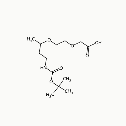 CC(CCNC(=O)OC(C)(C)C)OCCOCC(=O)O